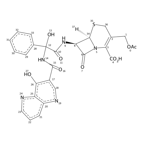 CC(=O)OCC1=C(C(=O)O)N2C(=O)[C@@H](NC(=O)C(O)(NC(=O)c3cnc4cccnc4c3O)c3ccccc3)[C@H]2SC1